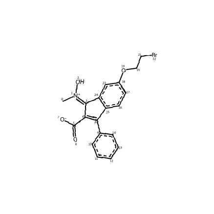 C/[N+](O)=C1\C(C(=O)[O-])=C(c2ccccc2)c2ccc(OCCBr)cc21